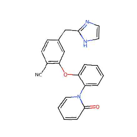 N#Cc1ccc(Cc2ncc[nH]2)cc1Oc1ccccc1-n1ccccc1=O